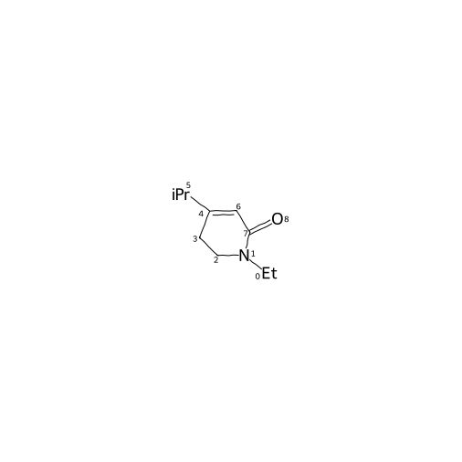 CCN1CCC(C(C)C)=CC1=O